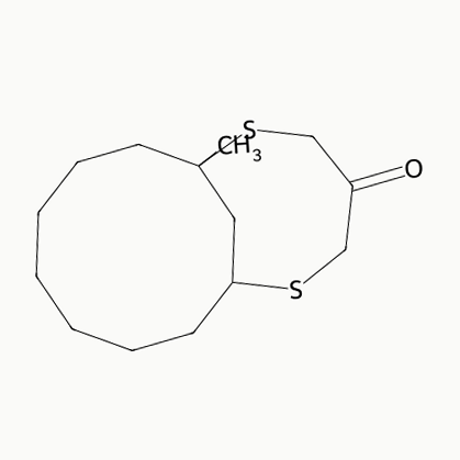 CC12CCCCCCCC(C1)SCC(=O)CS2